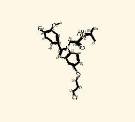 COc1cc(-c2nc3cc(OCCCCl)ccc3n2CC(=O)NC(C)C)ccc1F